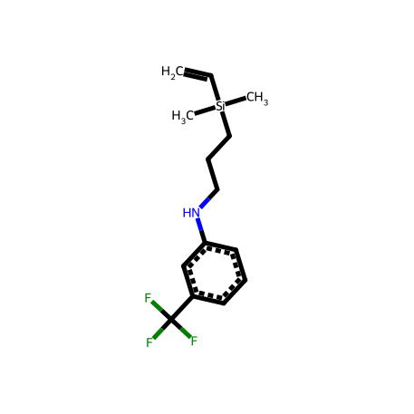 C=C[Si](C)(C)CCCNc1cccc(C(F)(F)F)c1